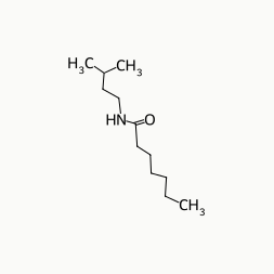 CCCCCCC(=O)NCCC(C)C